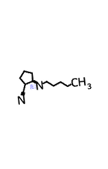 CCCCC/N=C1\CCCC1C#N